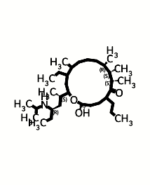 CCCC1CC[C@H](O)OC([C@@H](C)C[C@@H](CC)NC(C)C)CC(CC)C(C)CCC[C@@H](C)[C@H](C)[C@H](C)C1=O